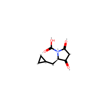 O=C1CC(=O)N(C(=O)O)[C@@H]1CC1CC1